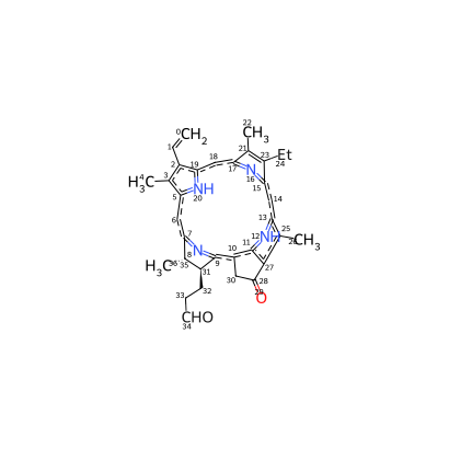 C=Cc1c(C)c2cc3nc(c4c5[nH]c(cc6nc(cc1[nH]2)C(C)=C6CC)c(C)c5C(=O)C4)[C@@H](CCC=O)[C@@H]3C